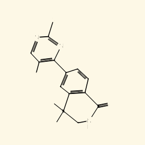 CC1(C)CNC(=O)c2ccc(-c3nc(Cl)ncc3Cl)cc21